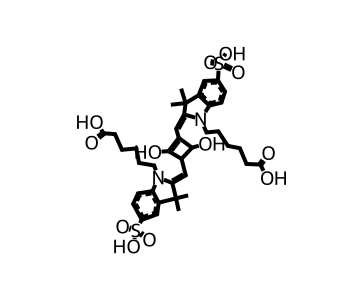 CC1(C)C(=CC2=C(O)C(C=C3N(CCCCCC(=O)O)c4ccc(S(=O)(=O)O)cc4C3(C)C)C2O)N(CCCCCC(=O)O)c2ccc(S(=O)(=O)O)cc21